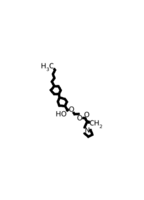 C=C(CN1CCCC1)C(=O)OCCOC(O)C1CCC(C2CCC(CCCCC)CC2)CC1